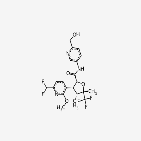 COc1nc(C(F)F)ccc1[C@@H]1[C@@H](C(=O)Nc2ccc(CO)nc2)O[C@](C)(C(F)(F)F)[C@@H]1C